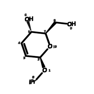 CC(C)O[C@H]1C=C[C@H](O)[C@@H](CO)O1